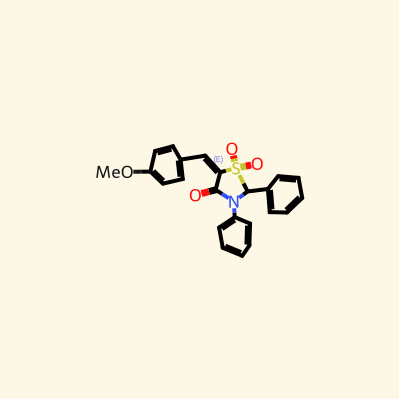 COc1ccc(/C=C2\C(=O)N(c3ccccc3)C(c3ccccc3)S2(=O)=O)cc1